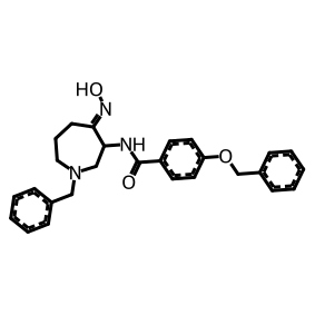 O=C(NC1CN(Cc2ccccc2)CCCC1=NO)c1ccc(OCc2ccccc2)cc1